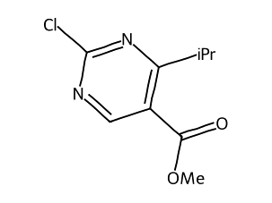 COC(=O)c1cnc(Cl)nc1C(C)C